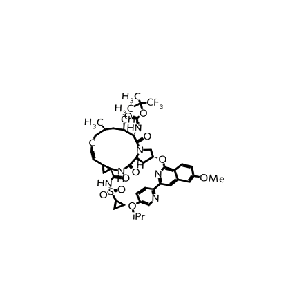 COc1ccc2c(O[C@@H]3C[C@H]4C(=O)N[C@]5(C(=O)NS(=O)(=O)C6CC6)CC5/C=C\CC[C@@H](C)C[C@@H](C)[C@H](NC(=O)OC(C)(C)C(F)(F)F)C(=O)N4C3)nc(-c3ccc(OC(C)C)cn3)cc2c1